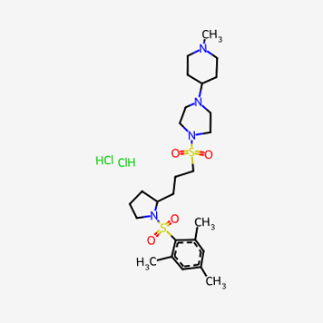 Cc1cc(C)c(S(=O)(=O)N2CCCC2CCCS(=O)(=O)N2CCN(C3CCN(C)CC3)CC2)c(C)c1.Cl.Cl